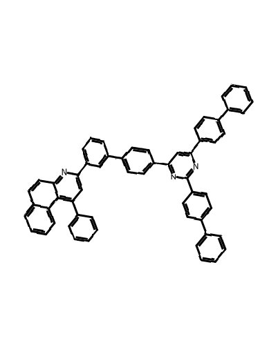 c1ccc(-c2ccc(-c3cc(-c4ccc(-c5cccc(-c6cc(-c7ccccc7)c7c(ccc8ccccc87)n6)c5)cc4)nc(-c4ccc(-c5ccccc5)cc4)n3)cc2)cc1